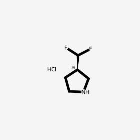 Cl.FC(F)[C@@H]1CCNC1